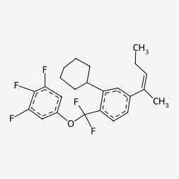 CC/C=C(/C)c1ccc(C(F)(F)Oc2cc(F)c(F)c(F)c2)c(C2CCCCC2)c1